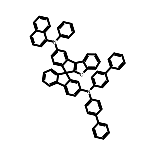 c1ccc(-c2ccc(N(c3ccc(-c4ccccc4)cc3)c3ccc4c(c3)C3(c5ccccc5-4)c4ccc(N(c5ccccc5)c5cccc6ccccc56)cc4-c4c3oc3ccccc43)cc2)cc1